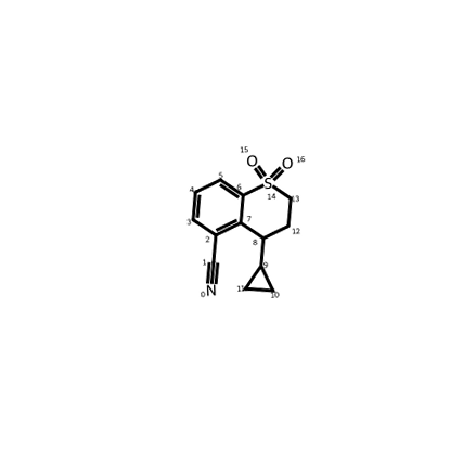 N#Cc1cccc2c1C(C1CC1)CCS2(=O)=O